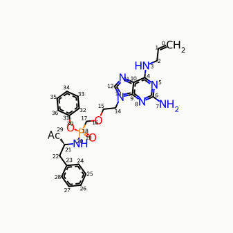 C=CCNc1nc(N)nc2c1ncn2CCOCP(=O)(N[C@@H](Cc1ccccc1)C(C)=O)Oc1ccccc1